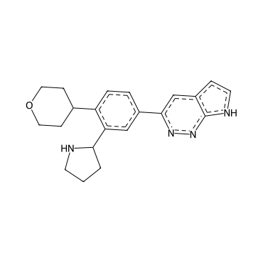 c1cc2cc(-c3ccc(C4CCOCC4)c(C4CCCN4)c3)nnc2[nH]1